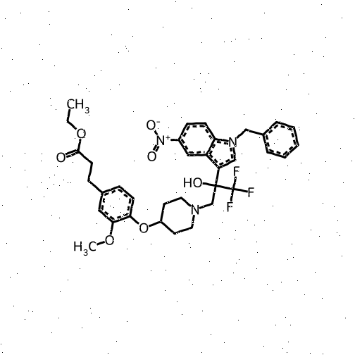 CCOC(=O)CCc1ccc(OC2CCN(CC(O)(c3cn(Cc4ccccc4)c4ccc([N+](=O)[O-])cc34)C(F)(F)F)CC2)c(OC)c1